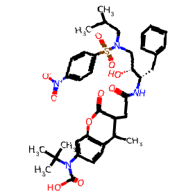 CC(C)CN(C[C@@H](O)[C@H](Cc1ccccc1)NC(=O)CC1C(=O)Oc2cc(N(C(=O)O)C(C)(C)C)ccc2C1C)S(=O)(=O)c1ccc([N+](=O)[O-])cc1